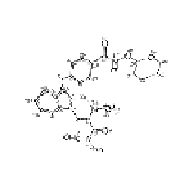 CCCN(C=O)C(=O)C1Cc2c(n(Cc3ccc(C(=O)NOC4CCCCO4)cc3)c3ccccc23)CN1C